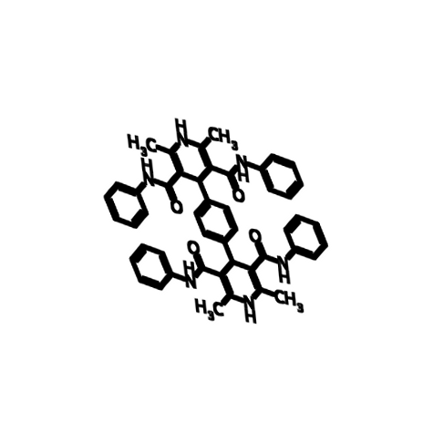 CC1=C(C(=O)Nc2ccccc2)C(c2ccc(C3C(C(=O)Nc4ccccc4)=C(C)NC(C)=C3C(=O)Nc3ccccc3)cc2)C(C(=O)Nc2ccccc2)=C(C)N1